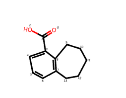 O=C(O)c1cccc2c1CCCCC2